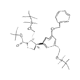 CC(C)(C)OC(=O)N1CC[C@H](c2cc(CO[Si](C)(C)C(C)(C)C)cc(OCc3ccccc3)c2)[C@H]1CO[Si](C)(C)C(C)(C)C